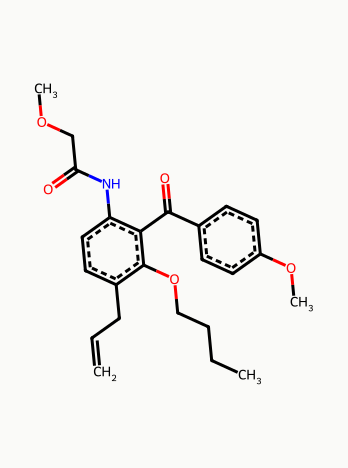 C=CCc1ccc(NC(=O)COC)c(C(=O)c2ccc(OC)cc2)c1OCCCC